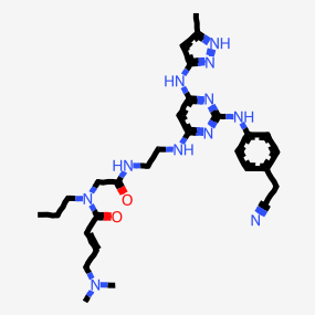 CCCN(CC(=O)NCCNc1cc(Nc2cc(C)[nH]n2)nc(Nc2ccc(CC#N)cc2)n1)C(=O)/C=C/CN(C)C